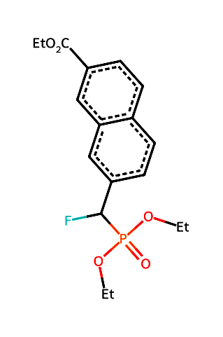 CCOC(=O)c1ccc2ccc(C(F)P(=O)(OCC)OCC)cc2c1